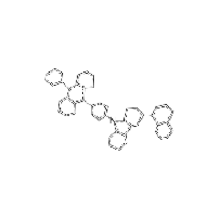 c1ccc(-c2c3ccccc3c(-c3ccc(-n4c5ccccc5c5cc(-c6cccc7ccccc67)ccc54)cc3)c3ccccc23)cc1